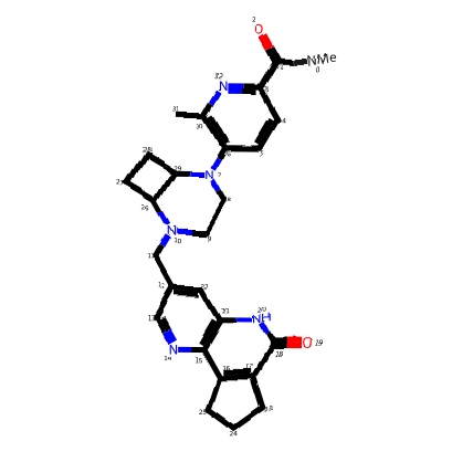 CNC(=O)c1ccc(N2CCN(Cc3cnc4c5c(c(=O)[nH]c4c3)CCC5)C3CCC32)c(C)n1